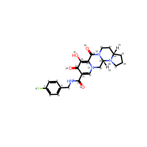 O=C(NCc1ccc(F)cc1)c1cn2c(c(O)c1=O)C(=O)N1CC[C@@H]3CCCN3[C@@H]1C2